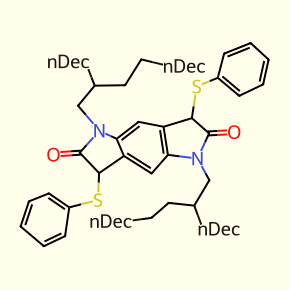 CCCCCCCCCCCCC(CCCCCCCCCC)CN1C(=O)C(Sc2ccccc2)c2cc3c(cc21)C(Sc1ccccc1)C(=O)N3CC(CCCCCCCCCC)CCCCCCCCCCCC